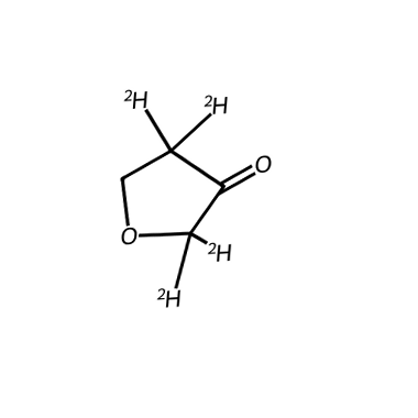 [2H]C1([2H])COC([2H])([2H])C1=O